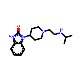 CC(C)NCCN1CCC(n2c(=O)[nH]c3ccccc32)CC1